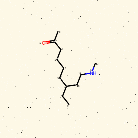 CCC(CCCCC(C)=O)CCNC